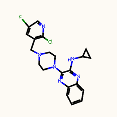 Fc1cnc(Cl)c(CN2CCN(c3nc4ccccc4nc3NC3CC3)CC2)c1